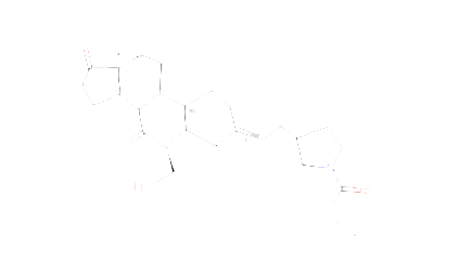 CC(C)(C)OC(=O)N1CCC(C/C=C2\CC[C@]3(C)C4CC[C@]5(C)C(=O)CCC5C4C(=O)[C@H](CO)C3C2)C1